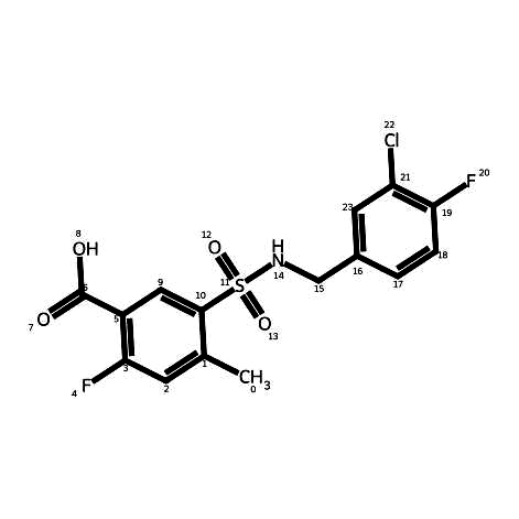 Cc1cc(F)c(C(=O)O)cc1S(=O)(=O)NCc1ccc(F)c(Cl)c1